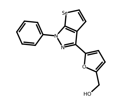 OCc1ccc(-c2nn(-c3ccccc3)c3[se]ccc23)o1